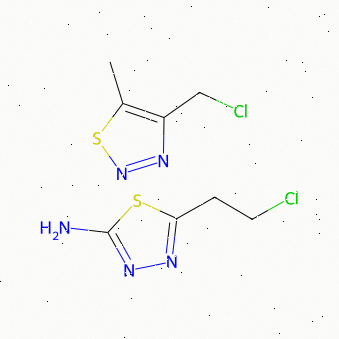 Cc1snnc1CCl.Nc1nnc(CCCl)s1